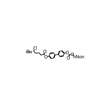 CCCCCCCCCOC(=O)Oc1ccc(-c2ccc(OC(=O)CCCC(Cl)[C@@H](C)CC)cc2)cc1